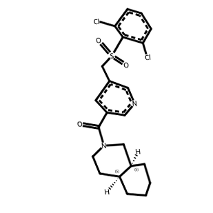 O=C(c1cncc(CS(=O)(=O)c2c(Cl)cccc2Cl)c1)N1CC[C@@H]2CCCC[C@@H]2C1